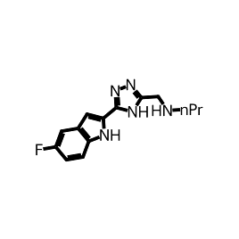 CCCNCc1nnc(-c2cc3cc(F)ccc3[nH]2)[nH]1